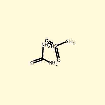 NC(N)=O.O=[SH](=O)[SiH3]